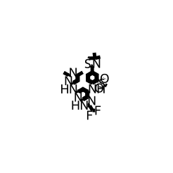 Cc1cc(Nc2cc(Nc3ccc(C4=NC(C)(C)CS4)cc3S(C)(=O)=O)c3nc(C(F)F)[nH]c3n2)nc(C)n1